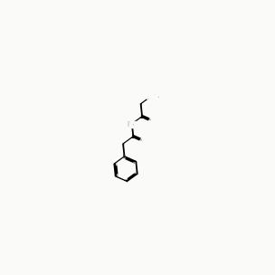 N#CCC(=O)NC(=O)Cc1ccccc1